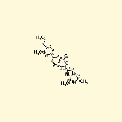 CCCN1CCN(c2ccc3cc(-c4cn5cc(C)nc(C)c5n4)oc(=O)c3c2)C[C@@H]1C